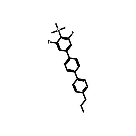 CCCc1ccc(-c2ccc(-c3cc(F)c([Si](C)(C)C)c(F)c3)cc2)cc1